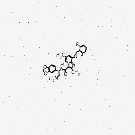 Cc1cc(OCc2c(F)cccc2F)c2nc(C)c(C(=O)NC(CN)c3ccc4c(c3)OCO4)n2c1